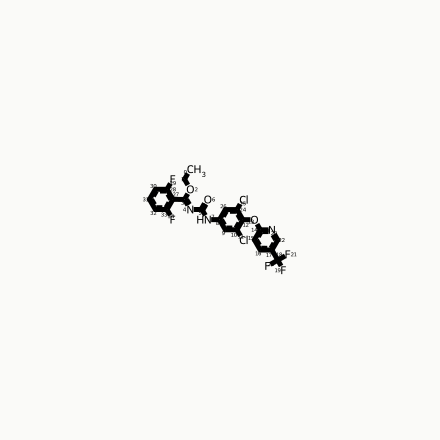 CCOC(=NC(=O)Nc1cc(Cl)c(Oc2ccc(C(F)(F)F)cn2)c(Cl)c1)c1c(F)cccc1F